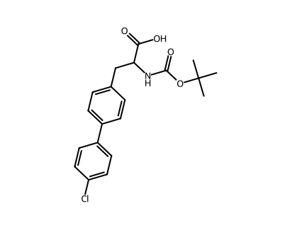 CC(C)(C)OC(=O)NC(Cc1ccc(-c2ccc(Cl)cc2)cc1)C(=O)O